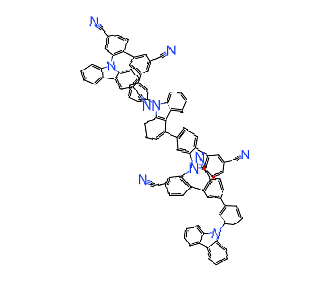 N#Cc1cc(-c2cccc(-n3c4c(c5ccccc53)C(c3ccc5c6cc(C#N)ccc6n(-c6cc(C#N)ccc6-c6cc(C7=CC(n8c9ccccc9c9ccccc98)CC=C7)ccc6C#N)c5c3)=CCC4)c2)cc(-c2ccc(C#N)cc2-n2c3ccccc3c3cc(C#N)ccc32)c1